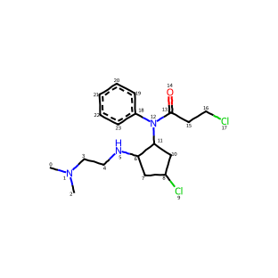 CN(C)CCNC1CC(Cl)CC1N(C(=O)CCCl)c1ccccc1